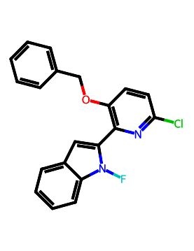 Fn1c(-c2nc(Cl)ccc2OCc2ccccc2)cc2ccccc21